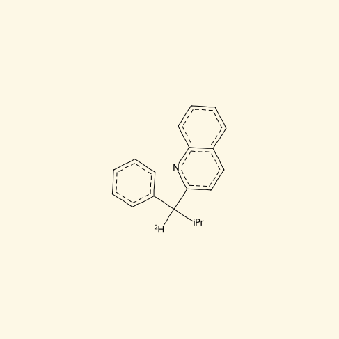 [2H]C(c1ccccc1)(c1ccc2ccccc2n1)C(C)C